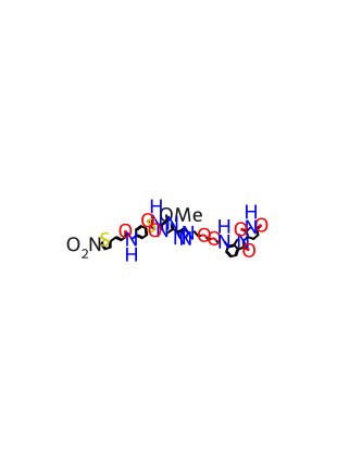 COc1nc(-c2cn(CCOCOCNc3cccc4c3CN(C3CCC(=O)NC3=O)C4=O)nn2)cnc1NS(=O)(=O)c1ccc(NC(=O)/C=C/c2ccc([N+](=O)[O-])s2)cc1